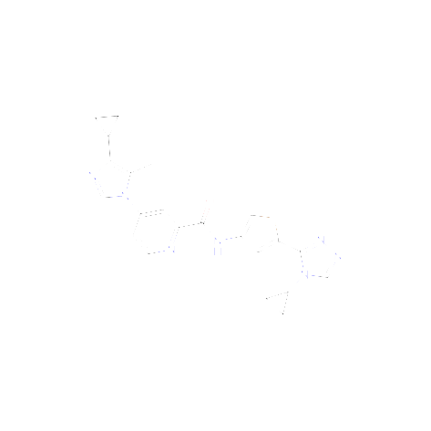 Cc1c(C2CC2)ncn1-c1ccnc(C(=O)Nc2csc(-c3nncn3C3CC3)c2)c1